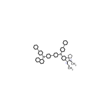 C=C/C=C1\C(=C/C)C2(CCCC2)c2cc(N(c3ccc(-c4ccccc4)cc3)c3ccc(-c4ccc(N(c5ccc(-c6ccccc6)cc5)c5cccc6ccccc56)cc4)cc3)ccc21